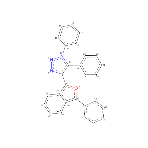 c1ccc(-c2oc(-c3nnn(-c4ccccc4)c3-c3ccccc3)c3ccccc23)cc1